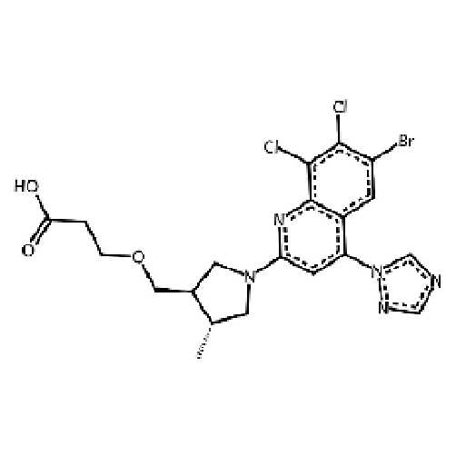 C[C@H]1CN(c2cc(-n3cncn3)c3cc(Br)c(Cl)c(Cl)c3n2)C[C@@H]1COCCC(=O)O